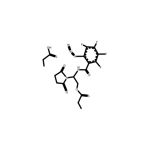 CCC(=S)OCC(NC(=O)c1c(F)c(F)c(F)c(F)c1N=[N+]=[N-])N1C(=O)CCC1=O.CCC(O)=S